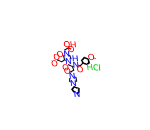 COC(=O)CC1C(=O)N(CC(=O)O)CCN1C(=O)C(CC(=O)N1CCN(c2ccncc2)CC1)NC(=O)c1ccc(OC)cc1.Cl